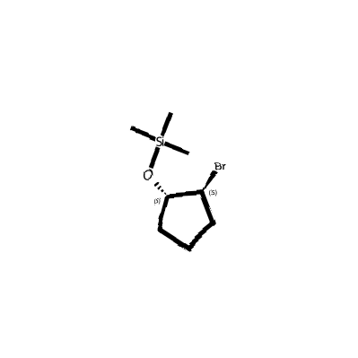 C[Si](C)(C)O[C@H]1CCC[C@@H]1Br